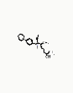 C=C(C)CCNC(=C)/C(C#N)=C/c1ccc(N2CCCCC2)cc1